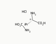 CC(C)[C@H](N)C(=O)O.Cl.NC(=O)O